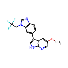 COc1cnc2[nH]cc(-c3ccc4ncn(CC(F)(F)F)c4c3)c2c1